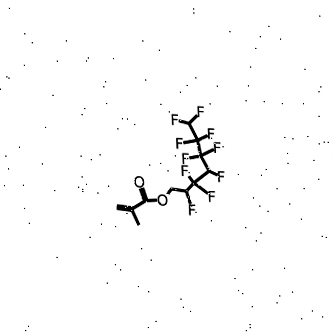 C=C(C)C(=O)OCC(F)C(F)(F)C(F)C(F)(F)C(F)(F)C(F)F